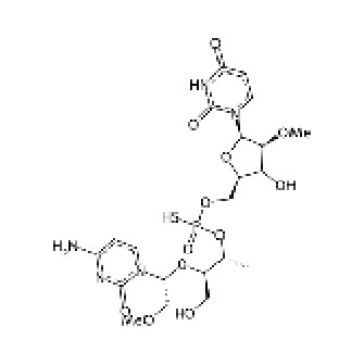 COC[C@@H](O[C@H](CO)[C@@H](C)OP(=O)(S)OC[C@H]1O[C@@H](n2ccc(=O)[nH]c2=O)[C@@H](OC)C1O)n1ccc(N)nc1=O